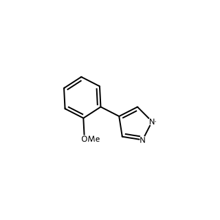 COc1ccccc1C1=C[N]N=C1